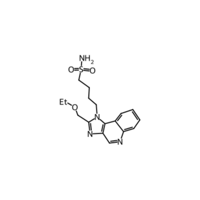 CCOCc1nc2cnc3ccccc3c2n1CCCCS(N)(=O)=O